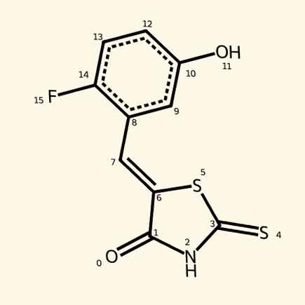 O=C1NC(=S)S/C1=C\c1cc(O)ccc1F